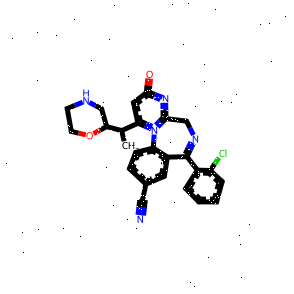 CC(c1cc(=O)nc2n1-c1ccc(C#N)cc1C(c1ccccc1Cl)=NC2)C1CNCCO1